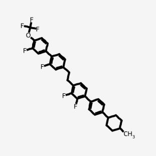 CC1CCC(c2ccc(-c3ccc(CCc4ccc(-c5ccc(OC(F)(F)F)c(F)c5)c(F)c4)c(F)c3F)cc2)CC1